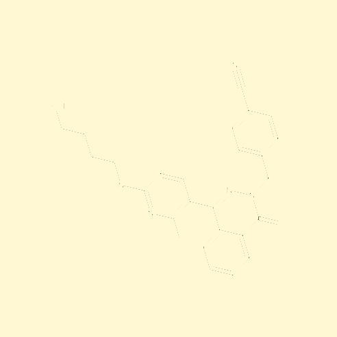 N#Cc1ccc(Cn2nc(-c3ccc(NCCCCO)nc3F)c3ccccc3c2=O)cc1